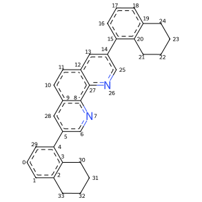 c1cc2c(c(-c3cnc4c(ccc5cc(-c6cccc7c6CCCC7)cnc54)c3)c1)CCCC2